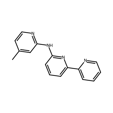 Cc1ccnc(Nc2cccc(-c3ccccn3)n2)c1